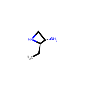 CC[C@H]1NC[C@@H]1N